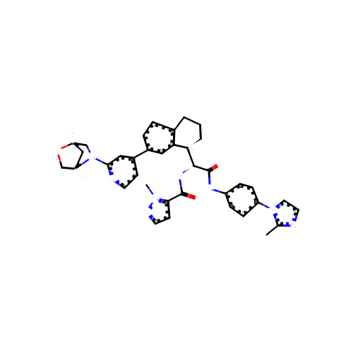 Cc1nccn1-c1ccc(NC(=O)[C@@H](NC(=O)c2ccnn2C)[C@@H]2CCCc3ccc(-c4ccnc(N5C[C@H]6C[C@@H]5CO6)c4)cc32)cc1